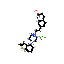 Cl.O=C1CCc2ccc(CCN3CCN(c4cccc5sc(F)cc45)CC3)cc2N1